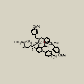 COc1ccc(CN(Cc2ccc(OC)cc2)S(=O)(=O)c2c(S(=O)(=O)NC[C@@H](C)N(C(=O)O)C(C)(C)C)ccc(-c3ccc(N)nc3)c2-c2nnn(Cc3ccc(OC)cc3)n2)cc1